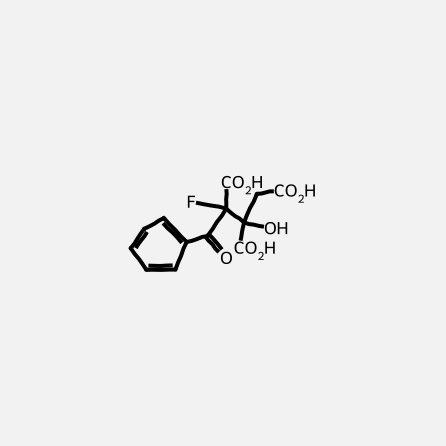 O=C(O)CC(O)(C(=O)O)C(F)(C(=O)O)C(=O)c1ccccc1